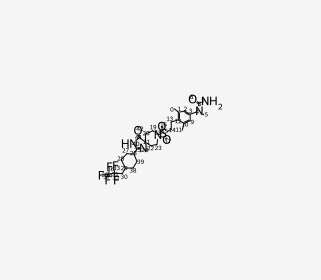 Cc1cc(N(C)C(N)=O)cc(C)c1CCS(=O)(=O)N1CCC2(CC1)N=C(C1CCC(CC(F)(F)C(F)(F)F)CC1)NC2=O